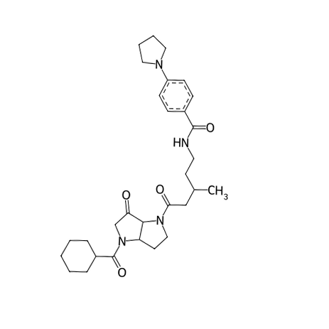 CC(CCNC(=O)c1ccc(N2CCCC2)cc1)CC(=O)N1CCC2C1C(=O)CN2C(=O)C1CCCCC1